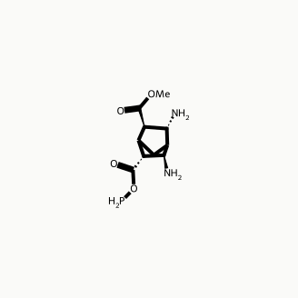 COC(=O)[C@@H]1C2CC([C@H]1N)[C@@H](N)[C@@H]2C(=O)OP